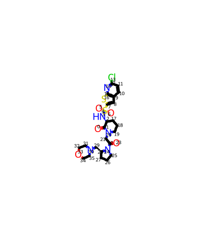 O=C1[C@@H](NS(=O)(=O)c2cc3ccc(Cl)nc3s2)CCCN1CC(=O)N1CCC[C@H]1CN1CCOCC1